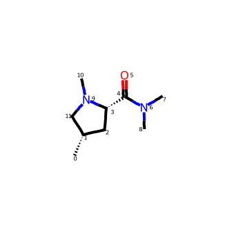 C[C@H]1C[C@@H](C(=O)N(C)C)N(C)C1